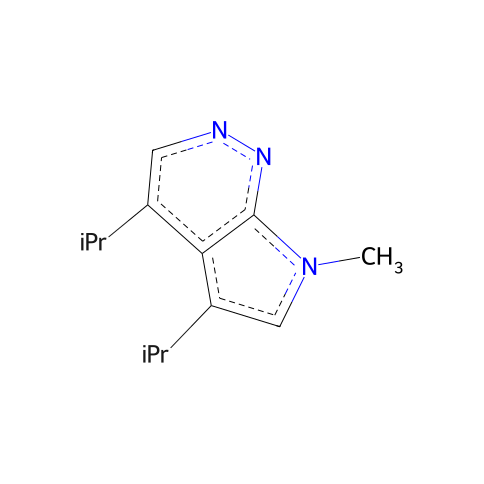 CC(C)c1cnnc2c1c(C(C)C)cn2C